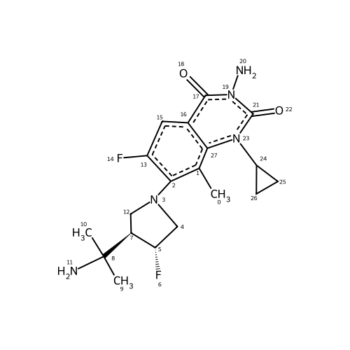 Cc1c(N2C[C@H](F)[C@@H](C(C)(C)N)C2)c(F)cc2c(=O)n(N)c(=O)n(C3CC3)c12